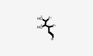 OC(F)C(O)C(F)C=CF